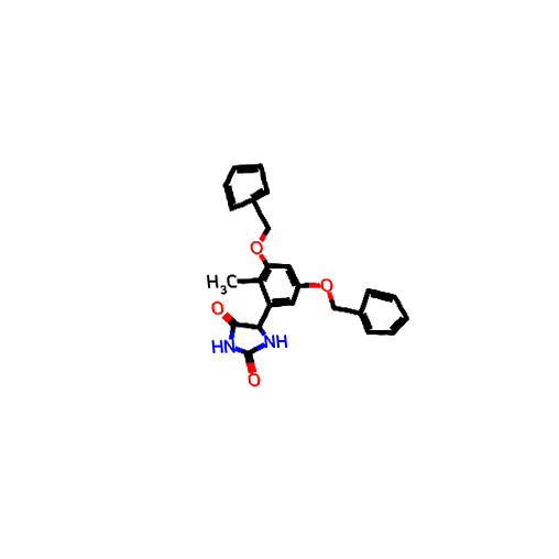 Cc1c(OCc2ccccc2)cc(OCc2ccccc2)cc1C1NC(=O)NC1=O